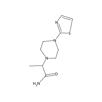 CC(C(N)=O)N1CCN(c2nccs2)CC1